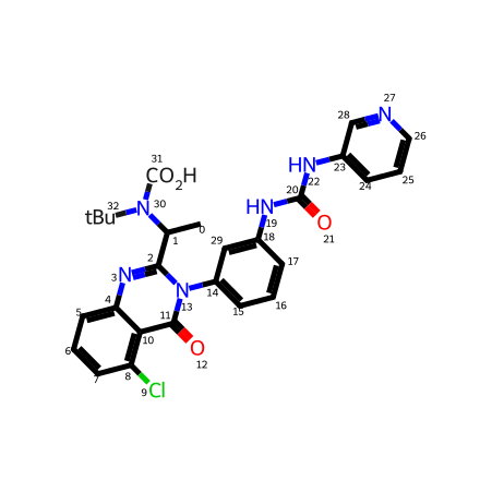 CC(c1nc2cccc(Cl)c2c(=O)n1-c1cccc(NC(=O)Nc2cccnc2)c1)N(C(=O)O)C(C)(C)C